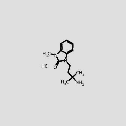 Cl.Cn1c(=O)n(CCC(C)(C)N)c2ccccc21